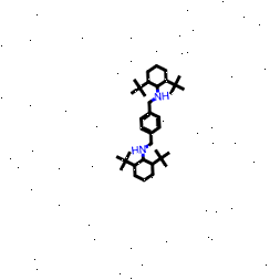 CC(C)(C)C1CCCC(C(C)(C)C)C1NCc1ccc(CNC2C(C(C)(C)C)CCCC2C(C)(C)C)cc1